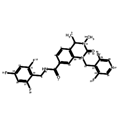 CC1c2ccc(C(=O)NCc3c(F)cc(F)cc3F)cc2N(Cc2c(F)cncc2Br)C(=O)N1C